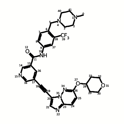 CN1CCN(Cc2ccc(NC(=O)c3cncc(C#Cc4cnc5ccc(OC6CCOCC6)nn45)c3)cc2C(F)(F)F)CC1